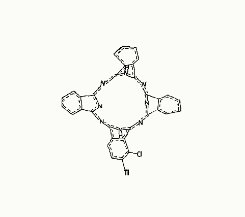 Clc1[c]([Ti])ccc2c3nc4nc(nc5[nH]c(nc6nc(nc([nH]3)c12)-c1ccccc1-6)c1ccccc51)-c1ccccc1-4